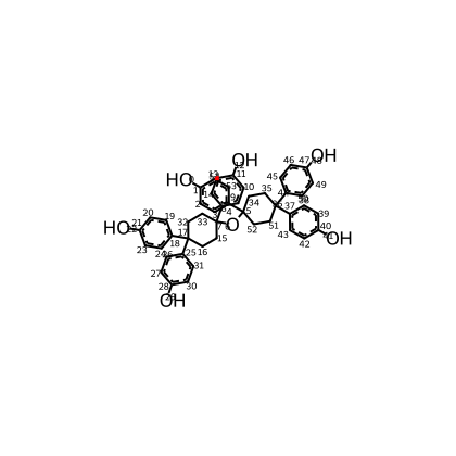 Oc1ccc(C2(OC3(c4ccc(O)cc4)CCC(c4ccc(O)cc4)(c4ccc(O)cc4)CC3)CCC(c3ccc(O)cc3)(c3ccc(O)cc3)CC2)cc1